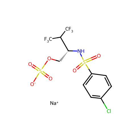 O=S(=O)([O-])OC[C@@H](NS(=O)(=O)c1ccc(Cl)cc1)C(C(F)(F)F)C(F)(F)F.[Na+]